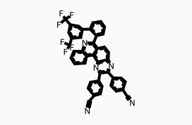 N#Cc1ccc(-c2nc3ccc4c(-c5ccccc5-c5cc(C(F)(F)F)cc(C(F)(F)F)c5)nc5ccccc5c4c3nc2-c2ccc(C#N)cc2)cc1